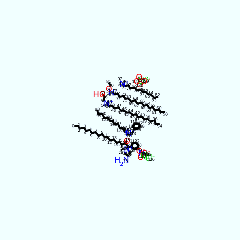 CCCCCCCCCCCCCCCCCC(=O)C(c1ccccc1)[N+](CC)(CC)CCN.CCCCCCCCCCCCCCCCCC[N+](C)(C)CCO.CCCCCCCCCCCCCCCCCC[N+](C)(C)OCC.CCCCCCCCCCCC[N+](C)(C)C.CCCCCCCCCCCC[N+](C)(C)Cc1ccccc1.O=[N+]([O-])[O-].[Cl-].[Cl-].[Cl-].[O-][Cl+3]([O-])([O-])[O-]